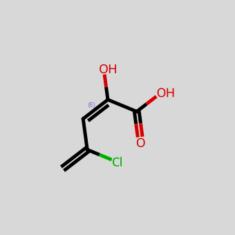 C=C(Cl)/C=C(/O)C(=O)O